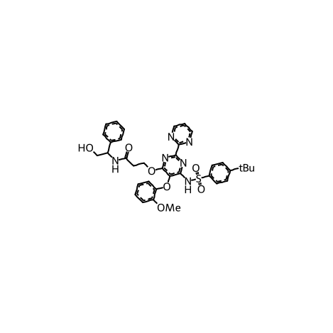 COc1ccccc1Oc1c(NS(=O)(=O)c2ccc(C(C)(C)C)cc2)nc(-c2ncccn2)nc1OCCC(=O)NC(CO)c1ccccc1